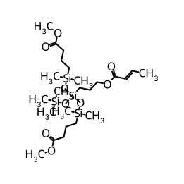 CC=CC(=O)OCCC[Si](O[Si](C)(C)C)(O[Si](C)(C)CCCC(=O)OC)O[Si](C)(C)CCCC(=O)OC